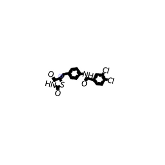 O=C1NC(=O)/C(=C/c2ccc(NC(=O)c3ccc(Cl)c(Cl)c3)cc2)S1